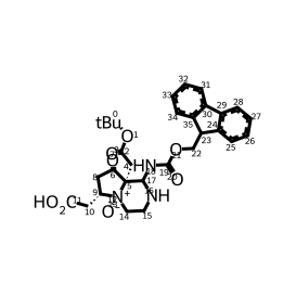 CC(C)(C)OC(=O)C[C@@]12C(=O)C[C@@H](CC(=O)O)[N+]1([O-])CCNC2NC(=O)OCC1c2ccccc2-c2ccccc21